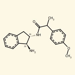 COc1ccc(C(C)C(=O)N[C@H]2Cc3ccccc3[C@@H]2N)cc1